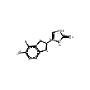 Cc1c(Cl)ccc2c1CC(C1=CNC(=S)[N]1)C2